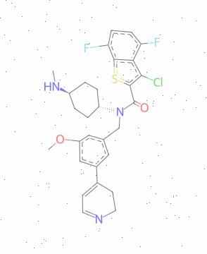 CN[C@H]1CC[C@H](N(Cc2cc(OC)cc(C3=CC=NCC3)c2)C(=O)c2sc3c(F)ccc(F)c3c2Cl)CC1